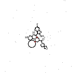 Nc1nn2cc(F)cnc2c1C(=O)NC1CNCC2(CCCCCCCCC2)C1N1CCC(C(=O)N2CCC3(COC3)C2)CC1